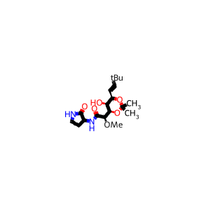 CO[C@@H](C(=O)NC1CCNC1=O)[C@@H]1OC(C)(C)O[C@H](/C=C/C(C)(C)C)[C@@H]1O